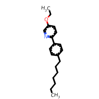 CCCCCCCc1ccc(-c2ccc(OCC)cn2)cc1